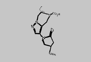 CSC1CC(=O)N(c2cnn3c2CN(C(=O)O)[C@@H](C)C3)C1